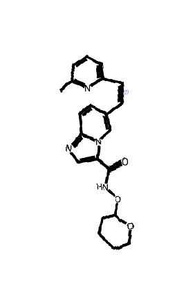 Cc1cccc(/C=C\c2ccc3ncc(C(=O)NOC4CCCCO4)n3c2)n1